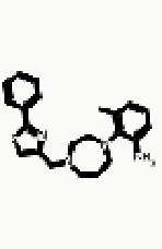 Cc1cccc(N)c1N1CCCN(Cc2csc(-c3ccccc3)n2)CC1